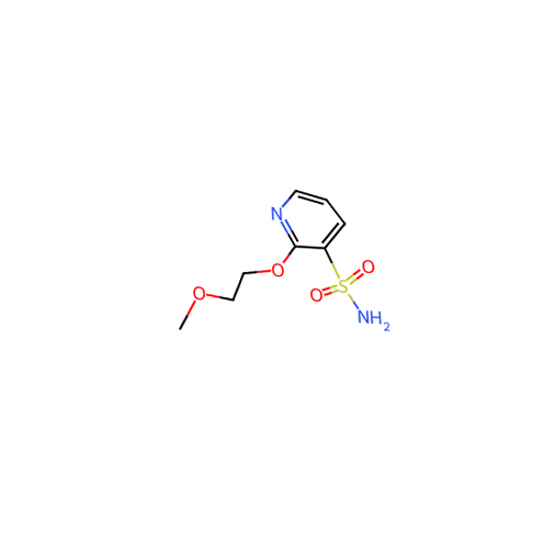 COCCOc1ncccc1S(N)(=O)=O